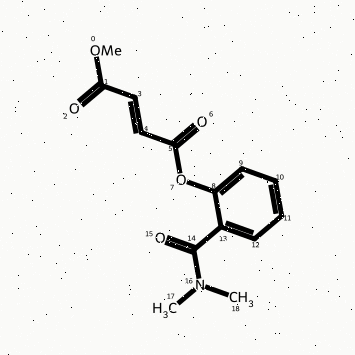 COC(=O)C=CC(=O)Oc1ccccc1C(=O)N(C)C